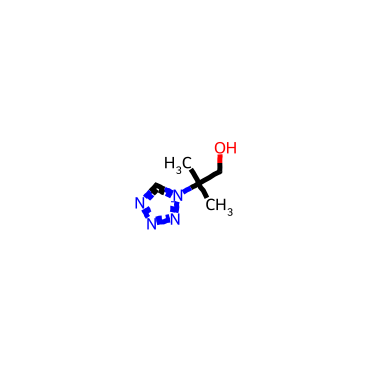 CC(C)(CO)n1cnnn1